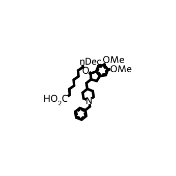 CCCCCCCCCCCCCCCCCC(=O)O.COc1cc2c(cc1OC)C(=O)C(CC1CCN(Cc3ccccc3)CC1)C2